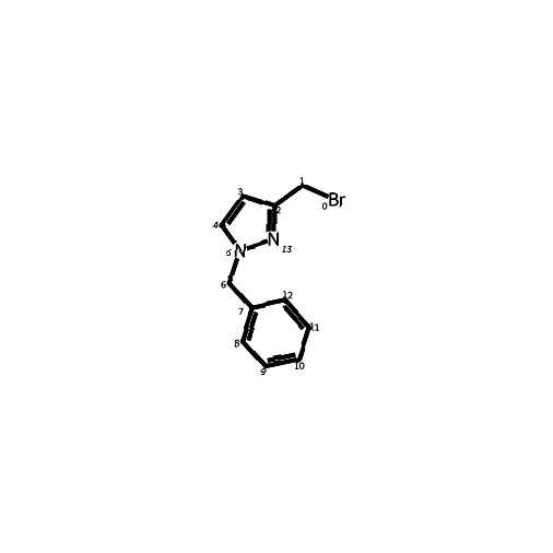 BrCc1ccn(Cc2ccccc2)n1